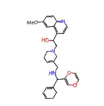 COc1ccc2nccc(C(O)CN3CCC=C(CNC(C4=CC=CCC4)C4=COC=CO4)C3)c2c1